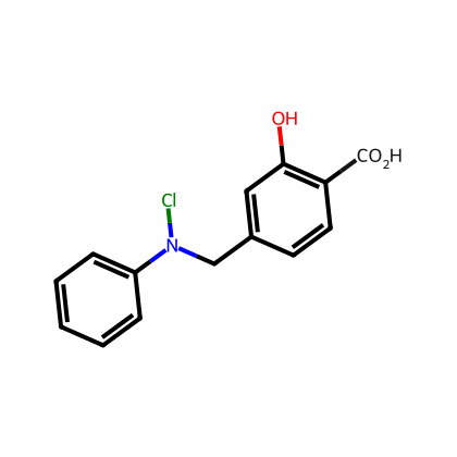 O=C(O)c1ccc(CN(Cl)c2ccccc2)cc1O